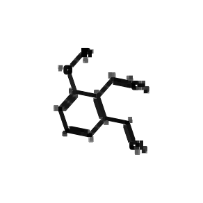 C=Cc1cccc(OC(C)C)c1C=C